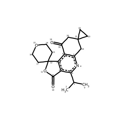 CC(C)c1nc2c(c3c1C(=O)OC31CCOCC1)C(=O)CC1(CC1)C2